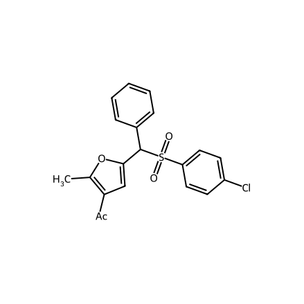 CC(=O)c1cc(C(c2ccccc2)S(=O)(=O)c2ccc(Cl)cc2)oc1C